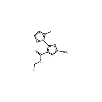 CCOC(=O)c1sc(N)nc1-c1nccn1C